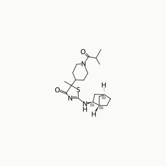 CC(C)C(=O)N1CCC(C2(C)SC(N[C@H]3C[C@H]4CC[C@H]3C4)=NC2=O)CC1